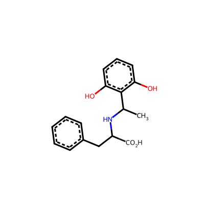 CC(NC(Cc1ccccc1)C(=O)O)c1c(O)cccc1O